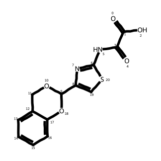 O=C(O)C(=O)Nc1nc(C2OCc3ccccc3O2)cs1